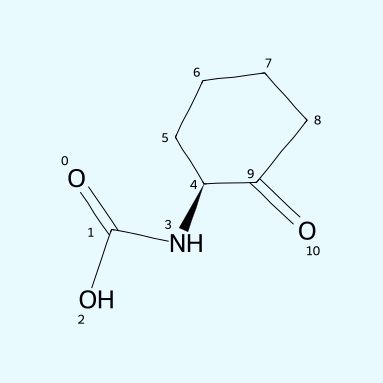 O=C(O)N[C@H]1CCCCC1=O